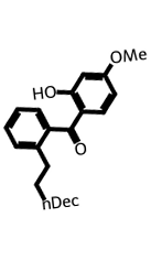 CCCCCCCCCCCCc1ccccc1C(=O)c1ccc(OC)cc1O